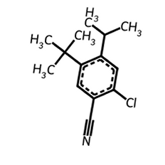 CC(C)c1cc(Cl)c(C#N)cc1C(C)(C)C